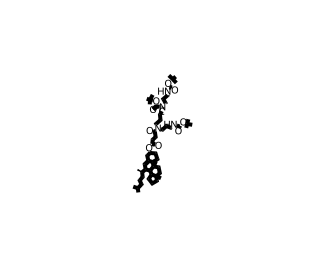 CC(C)CCC[C@@H](C)C1C=C2CC(OC(=O)CCC(=O)N(CCCCN(CCCNC(=O)OC(C)(C)C)C(=O)OC(C)(C)C)CCCNC(=O)OC(C)(C)C)CCC2(C)C2CCC3(C)CCCC3C12